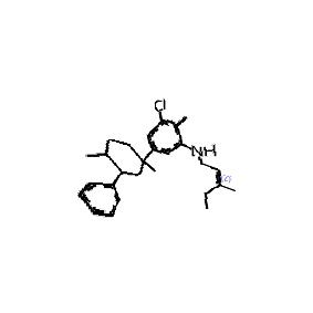 CC/C(C)=C\CNc1cc(C2(C)CCC(C)C(c3ccccc3)C2)cc(Cl)c1C